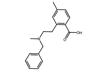 Cc1ccc(C(=O)O)c(CCN(C)Cc2ccccc2)c1